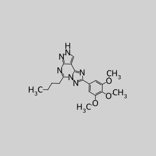 CCCCc1nc2n[nH]cc2c2nc(-c3cc(OC)c(OC)c(OC)c3)nn12